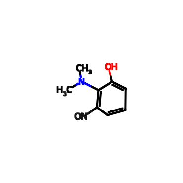 CN(C)c1c(O)cccc1N=O